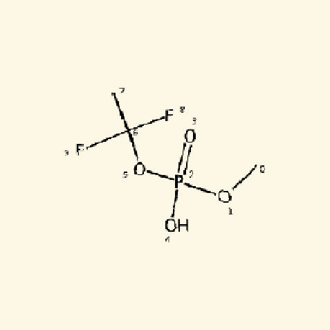 COP(=O)(O)OC(C)(F)F